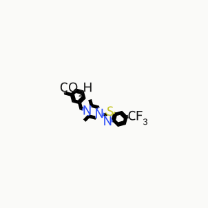 CC1CN(c2nc3ccc(C(F)(F)F)cc3s2)CC(C)N1Cc1cccc(CC(=O)O)c1